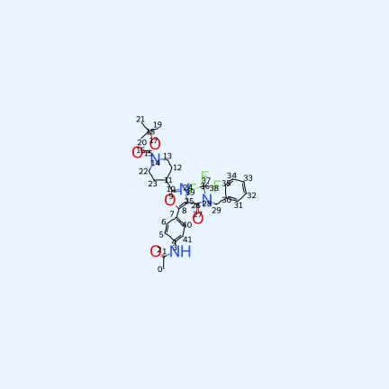 CC(=O)Nc1ccc(-c2oc(C3CCN(C(=O)OC(C)(C)C)CC3)nc2C(=O)N(Cc2ccccc2)C(F)(F)F)cc1